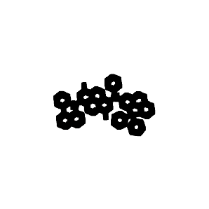 Cc1cc(N(c2ccccc2)c2cc3c4c(ccc5cccc(c54)C3(c3ccccc3)c3ccccc3)c2)c2ccc3c(C)cc(N(c4ccccc4)c4ccccc4-c4ccccc4)c4ccc1c2c34